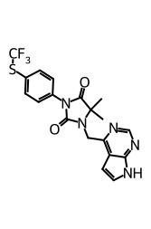 CC1(C)C(=O)N(c2ccc(SC(F)(F)F)cc2)C(=O)N1Cc1ncnc2[nH]ccc12